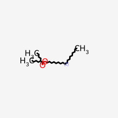 CCCCCCCC/C=C\CCCCCCCCOC(=O)[C](CCCC)CCCC